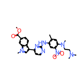 COC(=O)c1ccc2c(-c3ccnc(Nc4cc([N+](=O)[O-])c(N(C)CCN(C)C)cc4C)n3)cn(C)c2c1